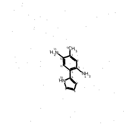 Cc1cc(N)c(-c2ccc[nH]2)cc1N